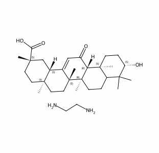 CC1(C)C2CC[C@]3(C)[C@H](C(=O)C=C4[C@H]5C[C@@](C)(C(=O)O)CC[C@]5(C)CC[C@]43C)[C@@]2(C)CC[C@@H]1O.NCCN